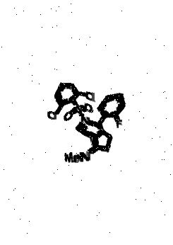 CNC1CCc2c1cn(S(=O)(=O)c1c(Cl)cccc1Cl)c2-c1ccccc1F